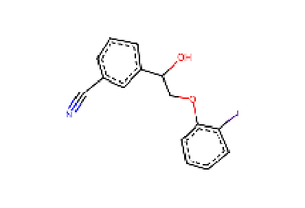 N#Cc1cccc(C(O)COc2ccccc2I)c1